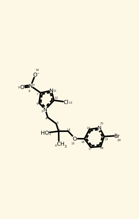 CC(O)(CCn1cc([N+](=O)[O-])nc1Cl)COc1ccc(Br)nc1